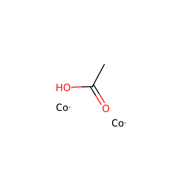 CC(=O)O.[Co].[Co]